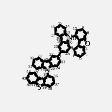 c1ccc2c(c1)oc1cccc(-n3c4ccccc4c4cc(-c5ccc6c(c5)c5ccccc5n6-c5cccc6sc7ccccc7c56)ccc43)c12